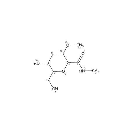 CNC(=O)C1OC(CO)C(O)CC1OC